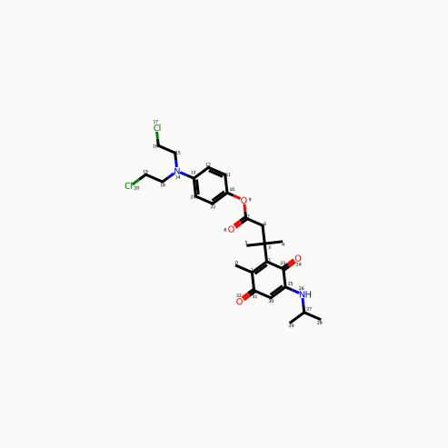 CC1=C(C(C)(C)CC(=O)Oc2ccc(N(CCCl)CCCl)cc2)C(=O)C(NC(C)C)=CC1=O